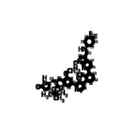 COc1cc(-c2nccc(-c3cccc(-c4ccc5c(CNC6CCC(F)(F)CC6)cn(C)c5n4)c3Cl)c2Cl)ccc1CN(C[C@@H]1CCC(=O)N1)C(=O)OC(C)(C)C